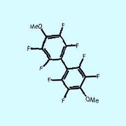 COc1c(F)c(F)c(-c2c(F)c(F)c(OC)c(F)c2F)c(F)c1F